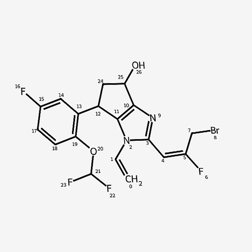 C=Cn1c(/C=C(/F)CBr)nc2c1C(c1cc(F)ccc1OC(F)F)CC2O